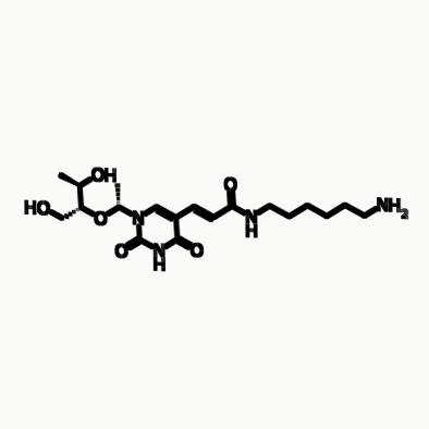 C[C@@H](O)[C@@H](CO)O[C@H](C)n1cc(/C=C/C(=O)NCCCCCCN)c(=O)[nH]c1=O